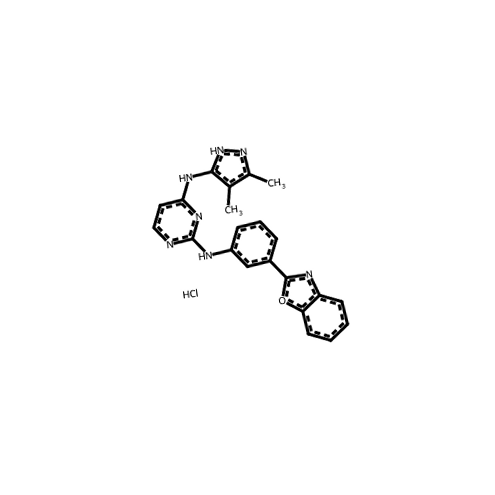 Cc1n[nH]c(Nc2ccnc(Nc3cccc(-c4nc5ccccc5o4)c3)n2)c1C.Cl